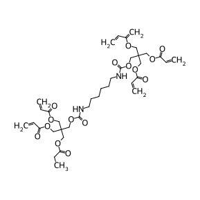 C=CC(=C)OCC(COC(=O)C=C)(COC(=O)C=C)COC(=O)NCCCCCCNC(=O)OCC(COC(=O)C=C)(COC(=O)C=C)COC(=O)CC